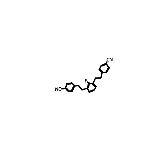 N#Cc1ccc(CCc2cccc(CCc3ccc(C#N)cc3)c2F)cc1